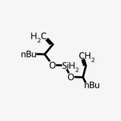 C=CC(CCCC)O[SiH2]OC(C=C)CCCC